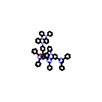 c1ccc(-c2cc(-c3ccccc3)nc(-c3ccc(-n4c5ccccc5c5cc(-c6nc(-c7ccccc7)nc(-c7ccccc7)n6)ccc54)c(-c4nc(-c5ccccc5)nc(-c5cccc(-c6ccc(N7c8ccccc8B8c9ccccc9N(c9ccccc9)c9cccc7c98)cc6)c5)n4)c3)n2)cc1